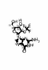 Nc1nc2c(ncn2[C@@H]2O[C@H](CO)[C@H](O)[C@H]2OC(F)(F)F)c(=O)[nH]1